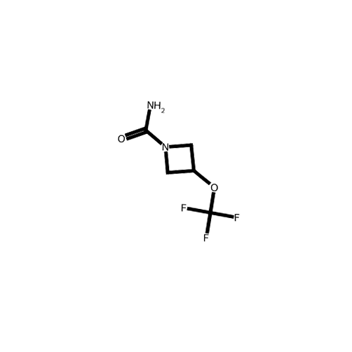 NC(=O)N1CC(OC(F)(F)F)C1